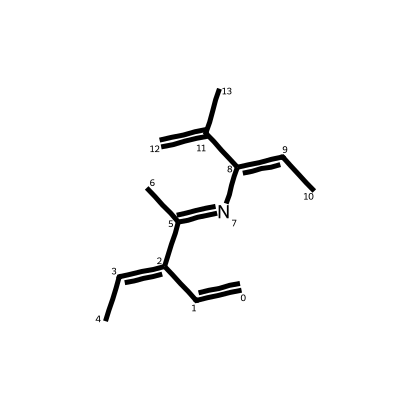 C=CC(=C\C)/C(C)=N/C(=C\C)C(=C)C